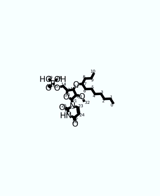 CCCCCCCC(CCC)OC1C(COP(=O)(O)O)OC(n2ccc(=O)[nH]c2=O)C1OC